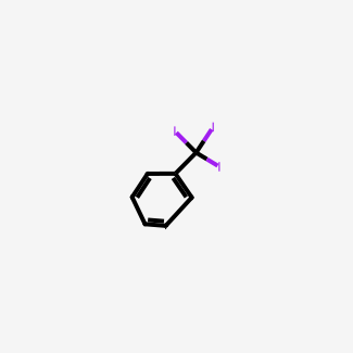 IC(I)(I)c1c[c]ccc1